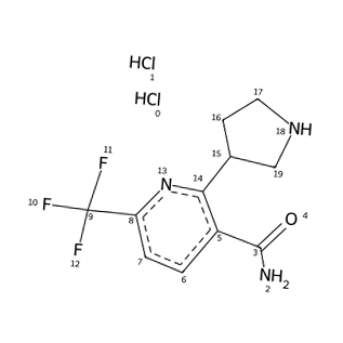 Cl.Cl.NC(=O)c1ccc(C(F)(F)F)nc1C1CCNC1